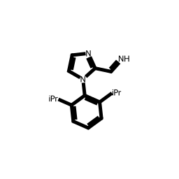 CC(C)c1cccc(C(C)C)c1-n1ccnc1C=N